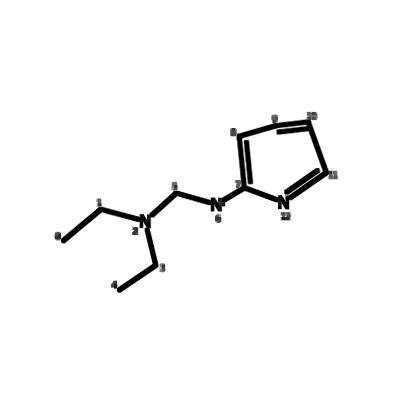 CCN(CC)C[N]c1ccccn1